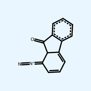 [N-]=[N+]=C1C=CC=C2c3ccccc3C(=O)C21